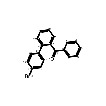 O=C(c1ccccc1)c1ccccc1-c1ccc(Br)cc1